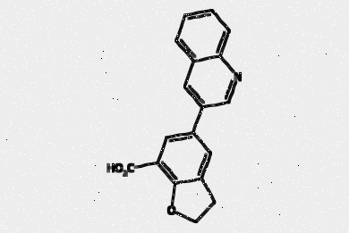 O=C(O)c1cc(-c2cnc3ccccc3c2)cc2c1OCC2